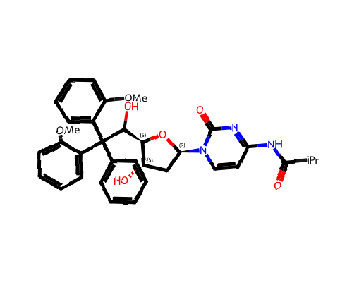 COc1ccccc1C(c1ccccc1)(c1ccccc1OC)C(O)[C@H]1O[C@@H](n2ccc(NC(=O)C(C)C)nc2=O)C[C@@H]1O